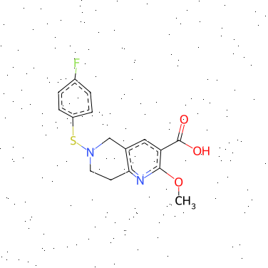 COc1nc2c(cc1C(=O)O)CN(Sc1ccc(F)cc1)CC2